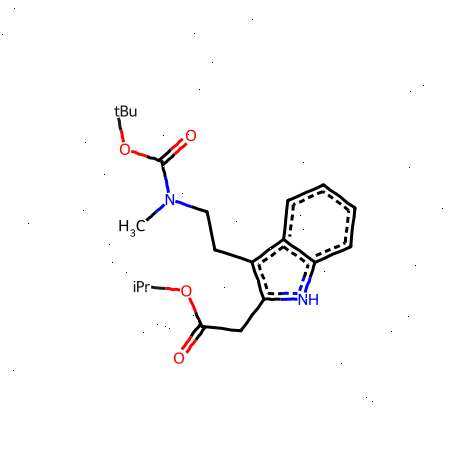 CC(C)OC(=O)Cc1[nH]c2ccccc2c1CCN(C)C(=O)OC(C)(C)C